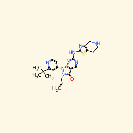 C=CCn1c(=O)c2cnc(Nc3nc4c(s3)CCNC4)nc2n1-c1ccnc(C(C)(C)C)c1